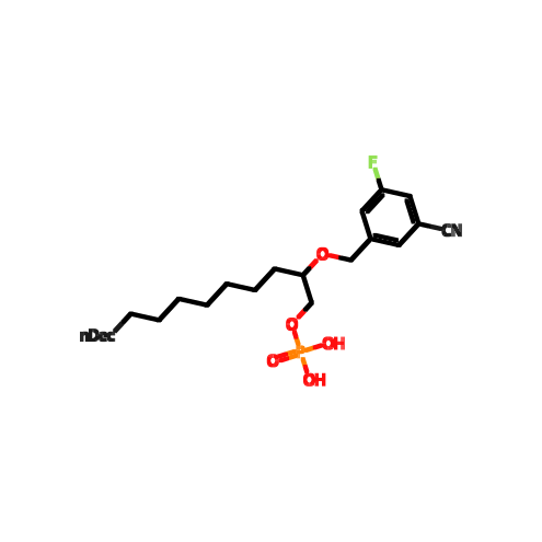 CCCCCCCCCCCCCCCCCC(COP(=O)(O)O)OCc1cc(F)cc(C#N)c1